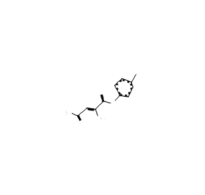 CCC(=O)C=C(O)C(=O)Oc1ccc(F)cc1